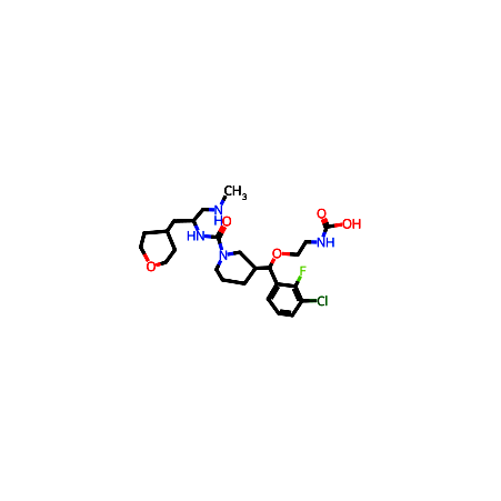 CNCC(CC1CCOCC1)NC(=O)N1CCCC(C(OCCNC(=O)O)c2cccc(Cl)c2F)C1